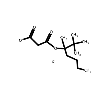 CCCCC(C)(OC(=O)CC(=O)[O-])C(C)(C)C.[K+]